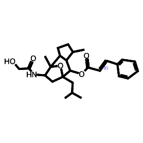 CC(C)CC12CC(NC(=O)CO)C(C)(O1)C1CCC(C)C1C2OC(=O)/C=C/c1ccccc1